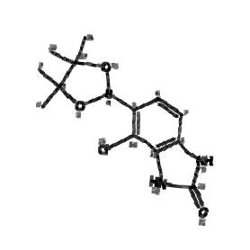 CC1(C)OB(c2ccc3[nH]c(=O)[nH]c3c2Cl)OC1(C)C